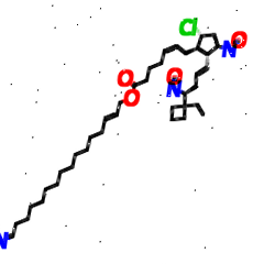 CCC1([C@H](C/C=C/[C@@H]2[C@@H](C/C=C\CCCC(=O)OC/C=C/CCCCCCCCCCCCC=N)[C@H](Cl)C[C@H]2N=O)N=O)CCC1